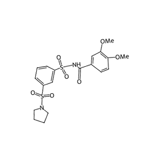 COc1ccc(C(=O)NS(=O)(=O)c2cccc(S(=O)(=O)N3CCCC3)c2)cc1OC